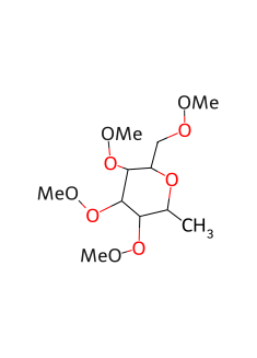 COOCC1OC(C)C(OOC)C(OOC)C1OOC